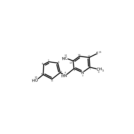 Cc1nc(Nc2cccc(O)c2)c(C#N)cc1F